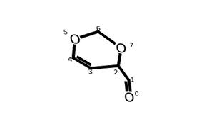 O=CC1C=COCO1